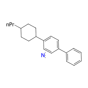 CCCC1CCC(c2ccc(-c3ccccc3)cc2)CC1.[N]